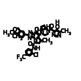 Cc1ncnc(C(=O)N2CCN(c3c4n(c5nc(-c6ccc7c(c6)COC7(C)C)nn5c3=O)[C@@H](C(=O)Nc3ccc(C(F)(F)F)cc3Cl)C[C@@H]4C)[C@H]3CC[C@@H]32)c1O